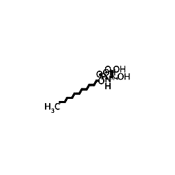 CCCCCCCCCCCCOP(=O)(O)N[C@@H](CO)C(=O)O